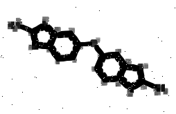 Nc1nc2ccc(Oc3ccc4nc(N)sc4c3)cc2s1